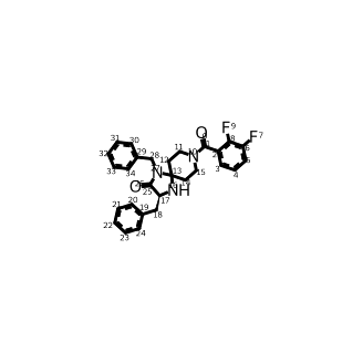 O=C(c1cccc(F)c1F)N1CCC2(CC1)N[C@@H](Cc1ccccc1)C(=O)N2Cc1ccccc1